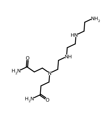 NCCNCCNCCN(CCC(N)=O)CCC(N)=O